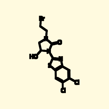 O=C1N(CCBr)CC(O)N1c1nc2cc(Cl)c(Cl)cc2s1